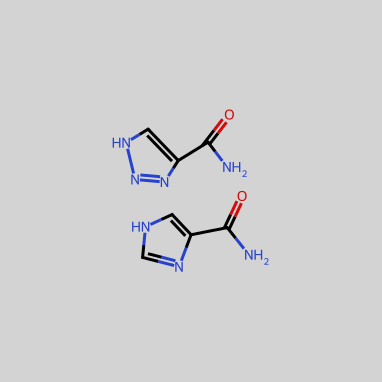 NC(=O)c1c[nH]cn1.NC(=O)c1c[nH]nn1